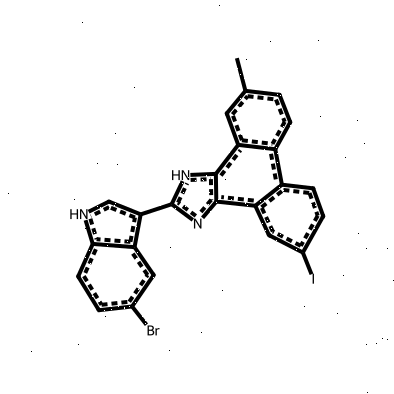 Cc1ccc2c3ccc(I)cc3c3nc(-c4c[nH]c5ccc(Br)cc45)[nH]c3c2c1